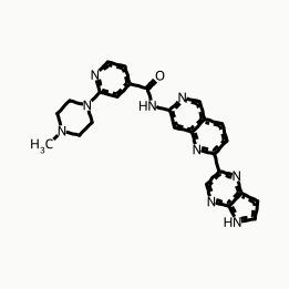 CN1CCN(c2cc(C(=O)Nc3cc4nc(-c5cnc6[nH]ccc6n5)ccc4cn3)ccn2)CC1